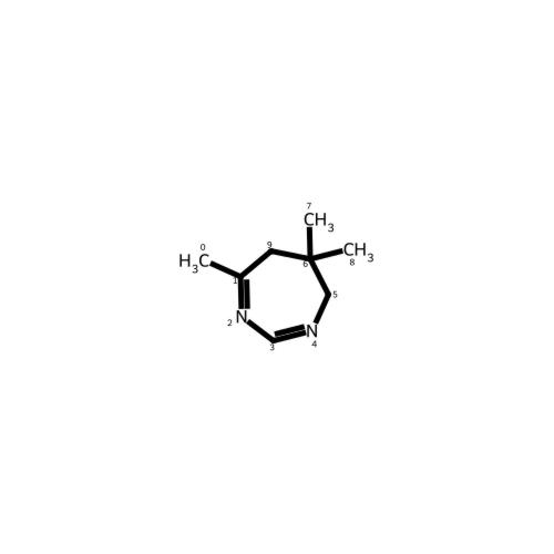 CC1=NC=NCC(C)(C)C1